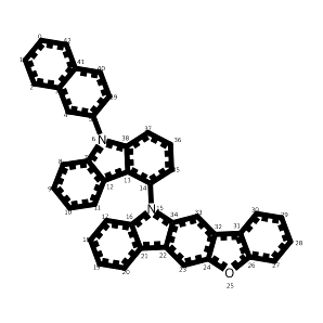 c1ccc2cc(-n3c4ccccc4c4c(-n5c6ccccc6c6cc7oc8ccccc8c7cc65)cccc43)ccc2c1